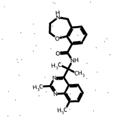 Cc1nc(C(C)(C)NC(=O)c2cccc3c2OCCNC3)c2cccc(C)c2n1